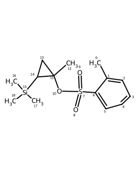 Cc1ccccc1S(=O)(=O)OC1(C)CC1[Si](C)(C)C